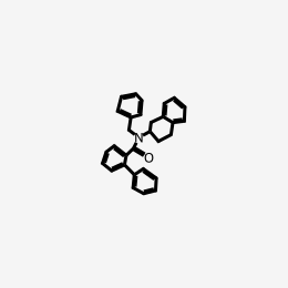 O=C(c1ccccc1-c1ccccc1)N(Cc1ccccc1)C1CCc2ccccc2C1